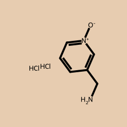 Cl.Cl.NCc1ccc[n+]([O-])c1